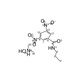 CCCNC(=O)c1cc([N+](=O)[O-])cc([N+](=O)[O-])c1.CNC.Cl